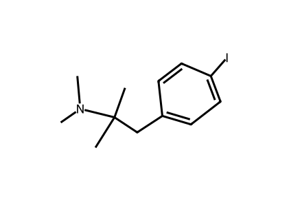 CN(C)C(C)(C)Cc1ccc(I)cc1